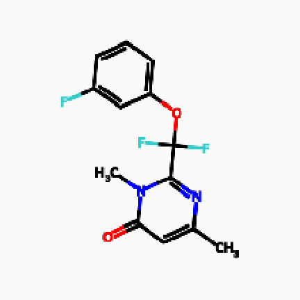 Cc1cc(=O)n(C)c(C(F)(F)Oc2cccc(F)c2)n1